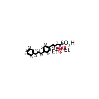 CCOP(=O)(OCC)C(CC=Cc1ccc(CCCc2ccccc2)cc1)S(=O)(=O)O